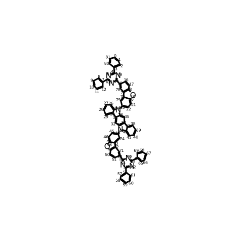 c1ccc(-c2nc(-c3ccccc3)nc(-c3ccc4oc5ccc(-n6c7ccccc7c7cc8c(cc76)c6ccccc6n8-c6ccc7oc8ccc(-c9nc(-c%10ccccc%10)nc(-c%10ccccc%10)n9)cc8c7c6)cc5c4c3)n2)cc1